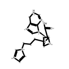 O=C(O)[C@]1(n2cnc3c2N=CNC3)C2CC(O2)N1CCCn1ccnc1